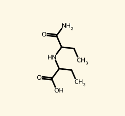 CCC(NC(CC)C(=O)O)C(N)=O